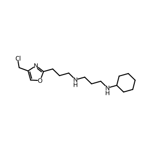 ClCc1coc(CCCNCCCNC2CCCCC2)n1